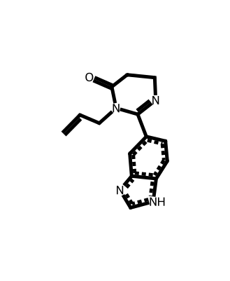 C=CCN1C(=O)CCN=C1c1ccc2[nH]cnc2c1